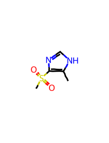 Cc1[nH]cnc1S(C)(=O)=O